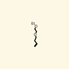 C=CCCOCCOCC